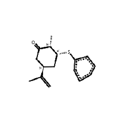 C=C(C)[C@H]1CC(=O)[C@H](C)[C@H](Sc2ccccc2)C1